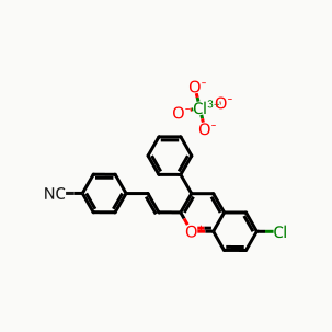 N#Cc1ccc(C=Cc2[o+]c3ccc(Cl)cc3cc2-c2ccccc2)cc1.[O-][Cl+3]([O-])([O-])[O-]